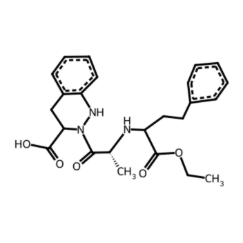 CCOC(=O)C(CCc1ccccc1)N[C@H](C)C(=O)N1Nc2ccccc2CC1C(=O)O